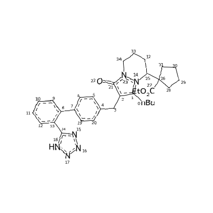 CCCCc1c(Cc2ccc(-c3ccccc3-c3nnn[nH]3)cc2)c(=O)n2n1C(C1(C(=O)OCC)CCCC1)CCC2